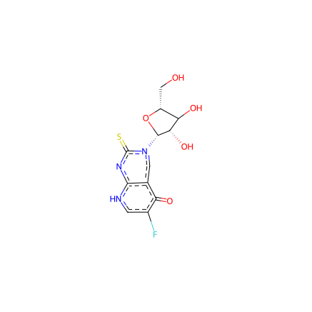 O=c1c(F)c[nH]c2nc(=S)n([C@@H]3O[C@H](CO)C(O)[C@@H]3O)cc12